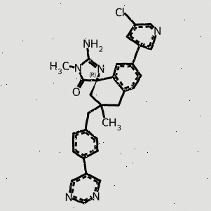 CN1C(=O)[C@]2(CC(C)(Cc3ccc(-c4cncnc4)cc3)Cc3ccc(-c4cncc(Cl)c4)cc32)N=C1N